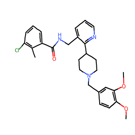 COc1ccc(CN2CCC(c3ncccc3CNC(=O)c3cccc(Cl)c3C)CC2)cc1OC